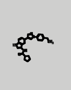 CCc1ccc(-n2cc(-c3ccc4[nH]cc(NC(=O)C5CCCC5)c4c3)cn2)cc1